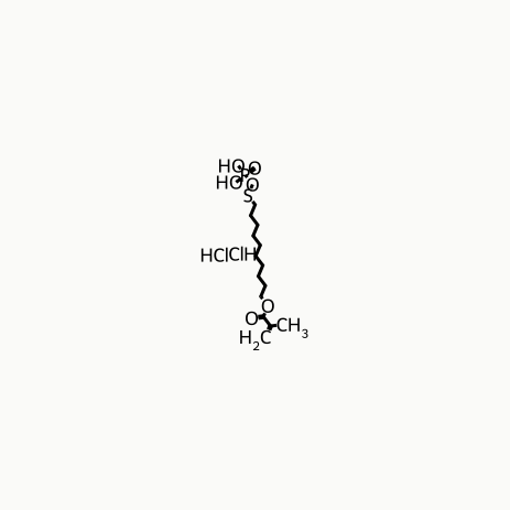 C=C(C)C(=O)OCCCCCCCCCCSOP(=O)(O)O.Cl.Cl